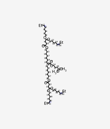 CC/C=C\CCCCOC(CCC(=O)OCCCCCCCN(CCCCCCCOC(=O)CCC(OCCCC/C=C\CC)OCCCC/C=C\CC)C(=O)OCCCN(C)C)OCCCC/C=C\CC